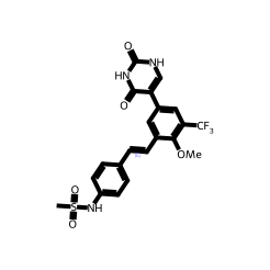 COc1c(/C=C/c2ccc(NS(C)(=O)=O)cc2)cc(-c2c[nH]c(=O)[nH]c2=O)cc1C(F)(F)F